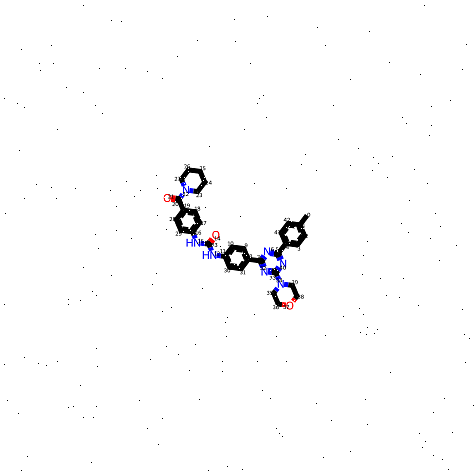 Cc1ccc(-c2nc(-c3ccc(NC(=O)Nc4ccc(C(=O)N5CCCCC5)cc4)cc3)nc(N3CCOCC3)n2)cc1